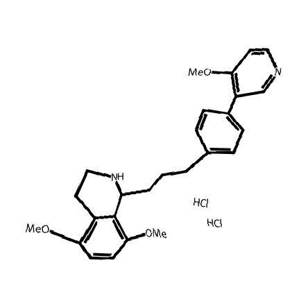 COc1ccncc1-c1ccc(CCCC2NCCc3c(OC)ccc(OC)c32)cc1.Cl.Cl